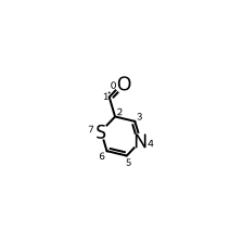 O=[C]C1C=NC=CS1